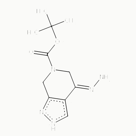 CC(C)(C)OC(=O)N1C/C(=N\N)c2c[nH]nc2C1